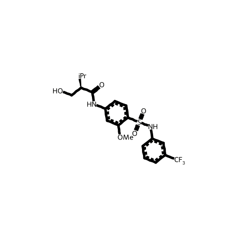 COc1cc(NC(=O)[C@@H](CO)C(C)C)ccc1S(=O)(=O)Nc1cccc(C(F)(F)F)c1